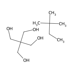 CCC(C)(C)C.OCC(CO)(CO)CO